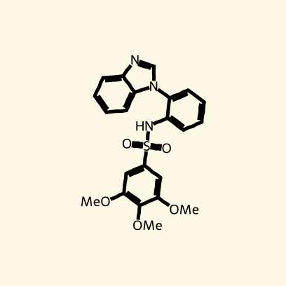 COc1cc(S(=O)(=O)Nc2ccccc2-n2cnc3ccccc32)cc(OC)c1OC